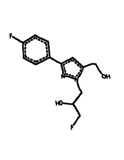 OCc1cc(-c2ccc(F)cc2)nn1CC(O)CF